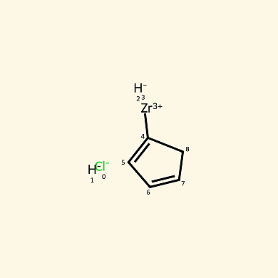 [Cl-].[H-].[H-].[Zr+3][C]1=CC=CC1